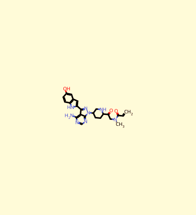 C=CC(=O)N(C)CC(=O)C1CCC(n2nc(-c3cc4cc(O)ccc4[nH]3)c3c(N)ncnc32)CN1